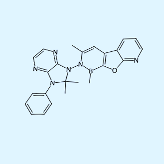 CB1c2oc3ncccc3c2C=C(C)N1N1c2nccnc2N(c2ccccc2)C1(C)C